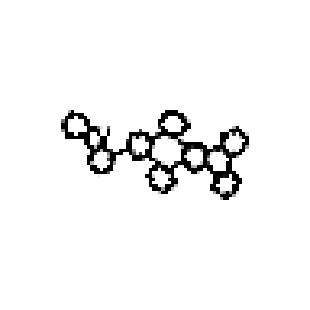 c1ccc2c(c1)-c1ccc(-c3cccc4c3oc3ccccc34)cc1-c1ccccc1-c1cc3c4ccccc4c4ccccc4c3cc1-2